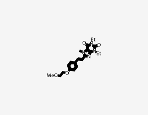 CCn1c(=O)c2c(nc(C=Cc3ccc(OCCOC)cc3)n2C)n(CC)c1=O